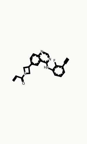 C#Cc1cccc(Nc2ncnc3ccc(C4CN(C(=O)C=C)C4)cc23)c1F